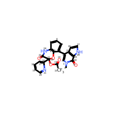 Cn1cc(-c2cccc3c2OC(OC(=O)C(F)(F)F)(c2ccccn2)C(=O)N3)c2cc[nH]c2c1=O